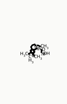 COc1cc2c(cc1C(C)C)CCCN(C[C@H](C)NC(=O)/C=N\O)C2